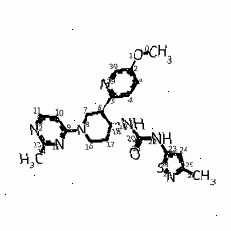 COc1ccc([C@@H]2CN(c3ccnc(C)n3)CC[C@H]2NC(=O)Nc2cc(C)ns2)nc1